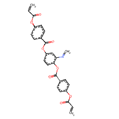 C=CC(=O)Oc1ccc(C(=O)Oc2ccc(OC(=O)c3ccc(OC(=O)C=C)cc3)c(N=C)c2)cc1